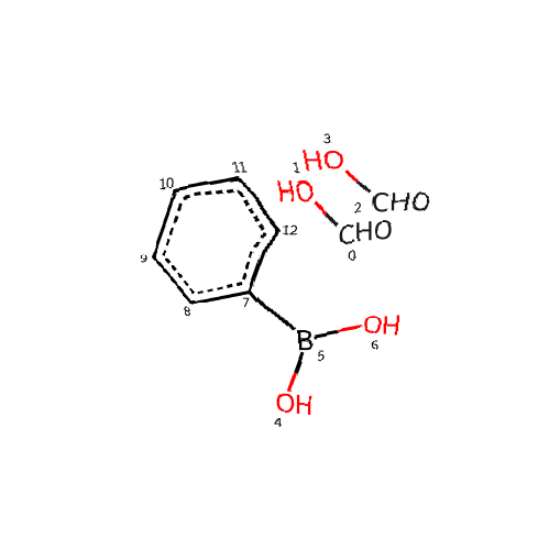 O=CO.O=CO.OB(O)c1ccccc1